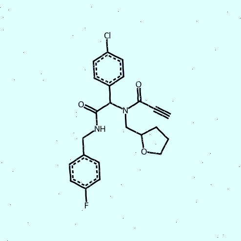 C#CC(=O)N(CC1CCCO1)C(C(=O)NCc1ccc(F)cc1)c1ccc(Cl)cc1